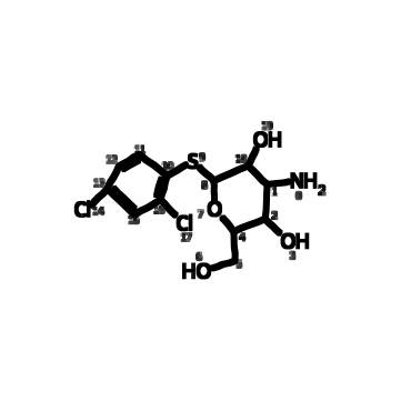 NC1C(O)C(CO)OC(Sc2ccc(Cl)cc2Cl)C1O